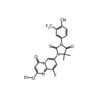 CCOc1cc(=O)n2cc(N3C(=S)N(c4ccc(C#N)c(C(F)(F)F)c4)C(=O)C3(C)C)cc(F)c2n1